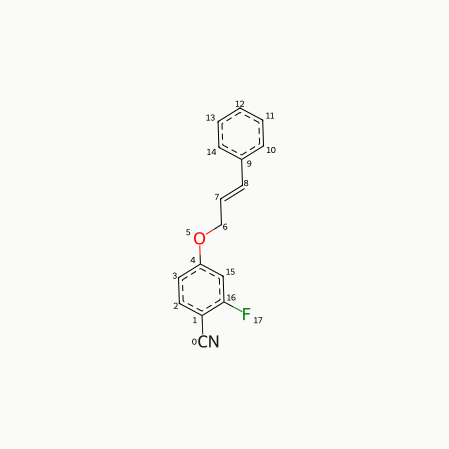 N#Cc1ccc(OC/C=C/c2ccccc2)cc1F